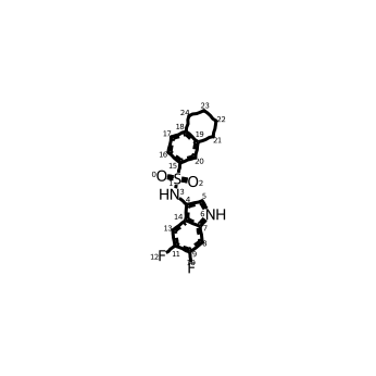 O=S(=O)(Nc1c[nH]c2cc(F)c(F)cc12)c1ccc2c(c1)CCCC2